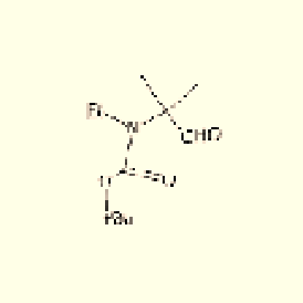 CCN(C(=O)OC(C)(C)C)C(C)(C)C=O